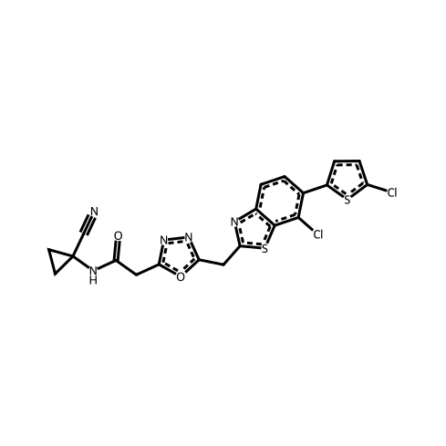 N#CC1(NC(=O)Cc2nnc(Cc3nc4ccc(-c5ccc(Cl)s5)c(Cl)c4s3)o2)CC1